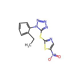 CCc1ccccc1-n1nnnc1Sc1ncc([N+](=O)[O-])s1